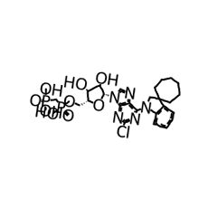 O=P(O)(O)CP(=O)(O)OC[C@H]1O[C@@H](n2cnc3c(N4CC5(CCCCCC5)c5ccccc54)nc(Cl)nc32)C(O)[C@H]1O